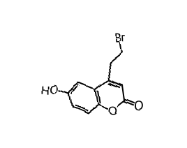 O=c1cc(CCBr)c2cc(O)ccc2o1